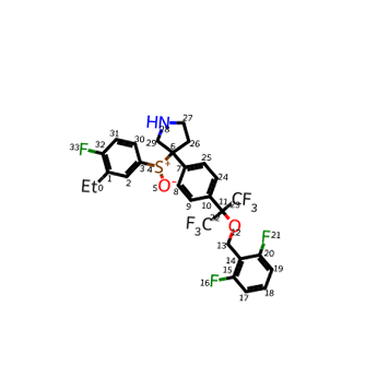 CCc1cc([S+]([O-])C2(c3ccc(C(OCc4c(F)cccc4F)(C(F)(F)F)C(F)(F)F)cc3)CCNC2)ccc1F